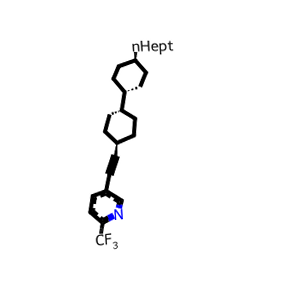 CCCCCCC[C@H]1CC[C@H]([C@H]2CC[C@H](C#Cc3ccc(C(F)(F)F)nc3)CC2)CC1